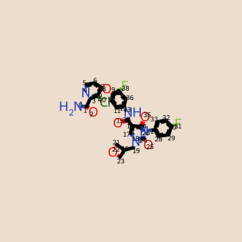 NC(=O)c1nccc(Oc2ccc(NC(=O)c3cn(CC4COC4)c(=O)n(-c4ccc(F)cc4)c3=O)cc2F)c1Cl